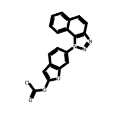 O=C(Cl)Oc1cc2ccc(-n3nnc4ccc5ccccc5c43)cc2o1